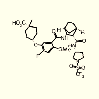 COc1cc(F)c(O[C@H]2CC[C@@](C)(C(=O)O)CC2)cc1C(=O)N[C@@H]1[C@H]2CC[C@H](C2)[C@@H]1C(=O)N[C@@H]1CCN(S(=O)(=O)C(F)(F)F)C1